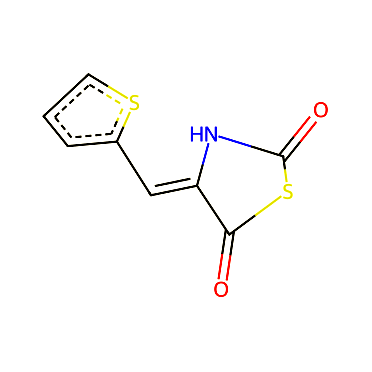 O=C1NC(=Cc2cccs2)C(=O)S1